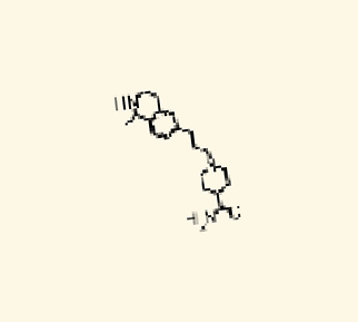 CC1NCCc2cc(CCCN3CCC(C(N)=O)CC3)ccc21